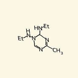 CCNC1N=C(C)N=CN1NCC